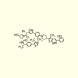 Cc1cc(-c2cc([C@H](C(=O)N3C[C@H](O)C[C@H]3C(=O)N[C@@H](C)c3ccc(-c4scnc4C)cc3)C(C)C)on2)ccc1N1CCC(c2sc3nnc(-c4ccccc4O)cc3c2C)CC1